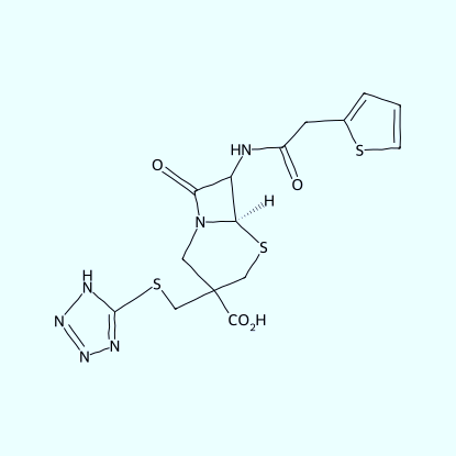 O=C(Cc1cccs1)NC1C(=O)N2CC(CSc3nnn[nH]3)(C(=O)O)CS[C@H]12